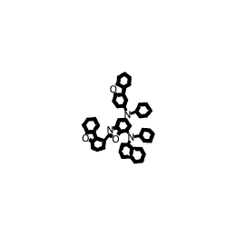 c1ccc(N(c2cc(N(c3ccccc3)c3cccc4ccccc34)c3oc(-c4cccc5oc6ccccc6c45)nc3c2)c2ccc3oc4ccccc4c3c2)cc1